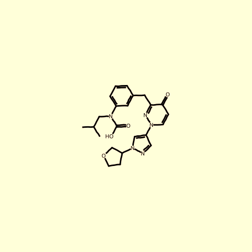 CC(C)CN(C(=O)O)c1cccc(Cc2nn(-c3cnn(C4CCOC4)c3)ccc2=O)c1